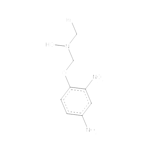 O=[N+]([O-])c1ccc(OCN(O)CBr)c([N+](=O)[O-])c1